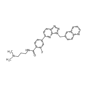 CN(C)CCCNC(=O)c1ccc(-c2ccc3nnn(Cc4ccc5ncccc5c4)c3n2)cc1F